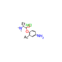 CCC(C(=O)Oc1ccc(N)cc1C(C)=O)N(C)C.Cl